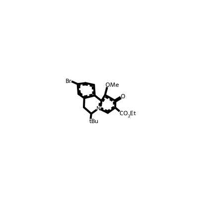 CCOC(=O)c1cn2c(c(OC)c1=O)-c1ccc(Br)cc1CC2C(C)(C)C